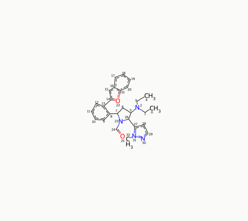 CCN(CC)C1CC(c2ccccc2-c2cc3ccccc3o2)N(C=O)C1c1ccnn1C